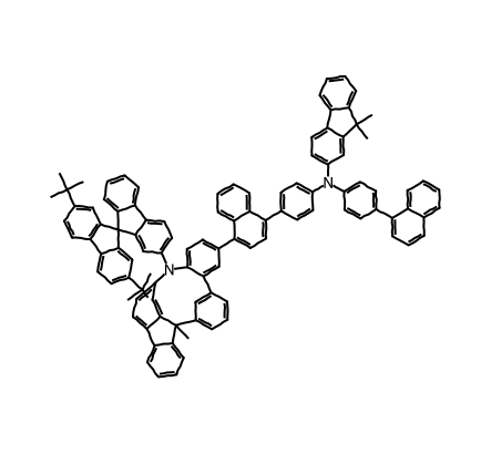 CC(C)(C)c1ccc2c(c1)C1(c3ccccc3-c3ccc(N4c5ccc6c(c5)C(C)(c5cccc(c5)-c5cc(-c7ccc(-c8ccc(N(c9ccc(-c%10cccc%11ccccc%10%11)cc9)c9ccc%10c(c9)C(C)(C)c9ccccc9-%10)cc8)c8ccccc78)ccc54)c4ccccc4-6)cc31)c1cc(C(C)(C)C)ccc1-2